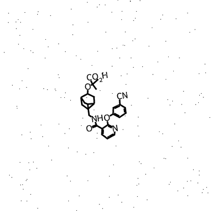 CC(C)(OC1CC2CCC1CC2CNC(=O)c1cccnc1Oc1cccc(C#N)c1)C(=O)O